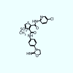 CS(=O)(=O)O.N=C1OCCN1c1ccc(NC(=O)c2ccsc2C(=O)Nc2ccc(Cl)cn2)cc1